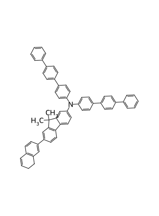 CC1(C)c2cc(-c3ccc4c(c3)CCC=C4)ccc2-c2ccc(N(c3ccc(-c4ccc(-c5ccccc5)cc4)cc3)c3ccc(-c4ccc(-c5ccccc5)cc4)cc3)cc21